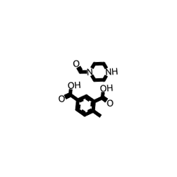 Cc1ccc(C(=O)O)cc1C(=O)O.O=CN1CCNCC1